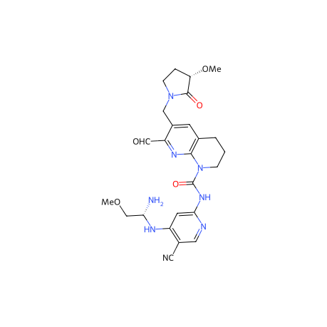 COC[C@H](N)Nc1cc(NC(=O)N2CCCc3cc(CN4CC[C@H](OC)C4=O)c(C=O)nc32)ncc1C#N